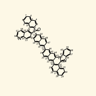 O=P(c1ccc2ccccc2c1)(c1ccc2cc(-c3ccc4cc5c6ccc7ccccc7c6c6nc7ccccc7n6c5cc4c3)ccc2c1)c1ccc2ncccc2c1